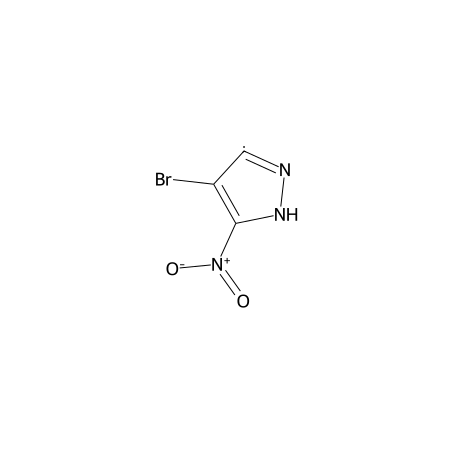 O=[N+]([O-])c1[nH]n[c]c1Br